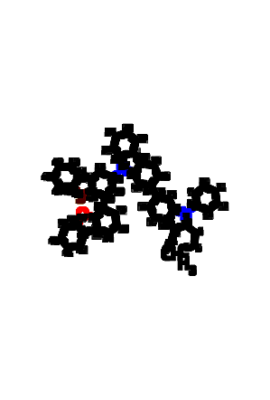 C#Cc1c(/C=C\C)n(-c2ccccc2)c2cc(-c3ccc4c5ccccc5n(-c5cc(-c6cccc7c6oc6ccccc67)c6sc7ccccc7c6c5)c4c3)ccc12